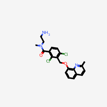 Cc1ccc2cccc(OCc3c(Cl)ccc(C(=O)N(C)CCN)c3Cl)c2n1